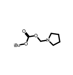 CCC(C)OC(=O)OCN1CCCC1